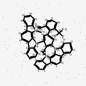 Cn1c2ccccc2c2ccc3c4ccccc4n(-c4cc(-c5c(C#N)cccc5C(F)(F)F)cc(-n5c6ccccc6c6ccc7c8ccccc8n(C)c7c65)c4C#N)c3c21